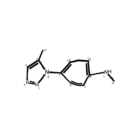 CNc1ccc(-n2nncc2C)cc1